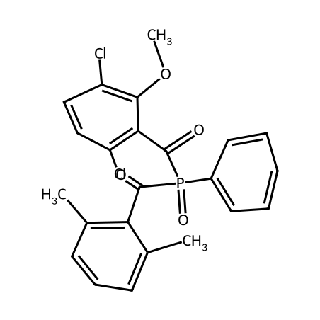 COc1c(Cl)ccc(Cl)c1C(=O)P(=O)(C(=O)c1c(C)cccc1C)c1ccccc1